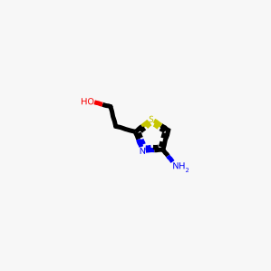 Nc1csc(CCO)n1